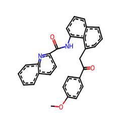 COc1ccc(C(=O)Cc2cccc3cccc(NC(=O)c4ccc5ccccc5n4)c23)cc1